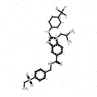 CCS(=O)(=O)c1ccc(CNC(=O)c2ccc3c(c2)nc(OC2CCC(C(F)(F)F)CC2)n3CC(C)C)cc1